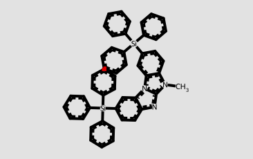 Cn1c2ccc([Si](c3ccccc3)(c3ccccc3)c3ccccc3)cc2n2c3cc([Si](c4ccccc4)(c4ccccc4)c4ccccc4)ccc3nc12